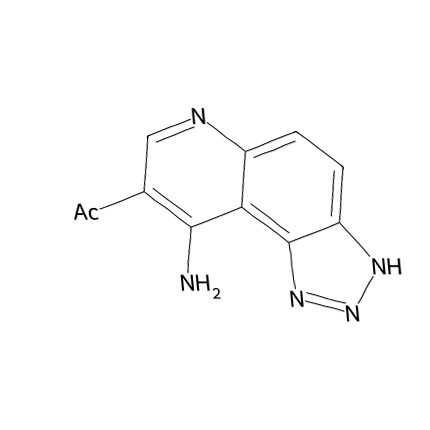 CC(=O)c1cnc2ccc3[nH]nnc3c2c1N